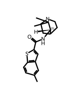 Cc1ccc2sc(C(=O)N[C@H]3C4CCN(CC4)C3(C)C)cc2c1